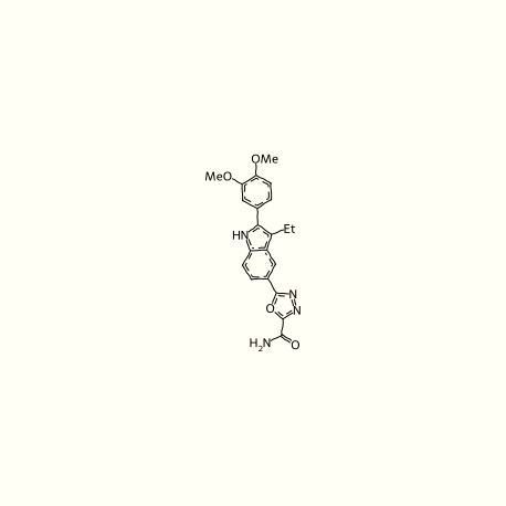 CCc1c(-c2ccc(OC)c(OC)c2)[nH]c2ccc(-c3nnc(C(N)=O)o3)cc12